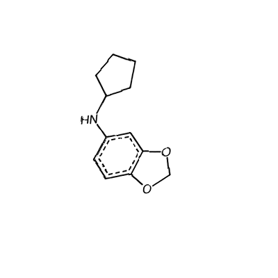 c1cc2c(cc1NC1CCCC1)OCO2